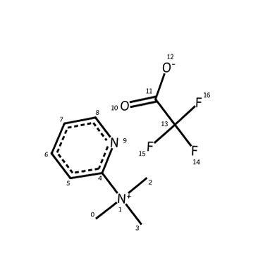 C[N+](C)(C)c1ccccn1.O=C([O-])C(F)(F)F